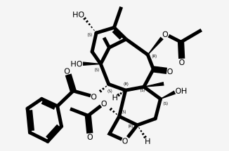 CC(=O)O[C@H]1C(=O)[C@@]2(C)[C@H]([C@H](OC(=O)c3ccccc3)[C@]3(O)C[C@H](O)C(C)=C1C3C)[C@]1(OC(C)=O)CO[C@@H]1C[C@@H]2O